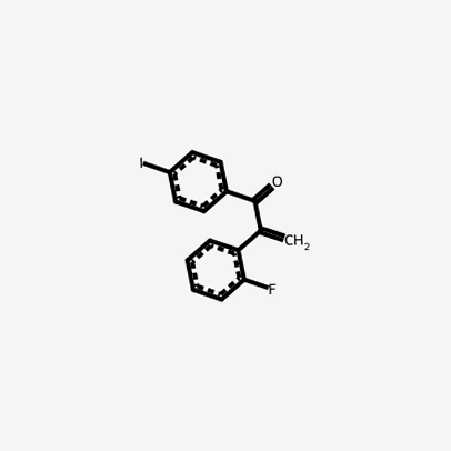 C=C(C(=O)c1ccc(I)cc1)c1ccccc1F